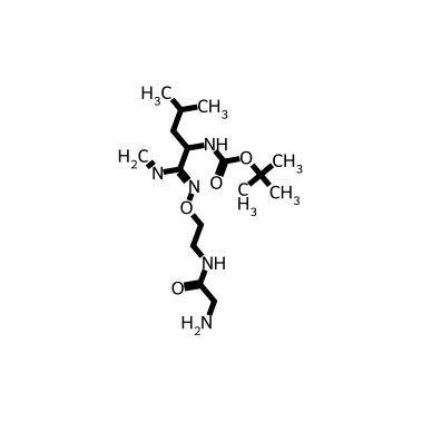 C=N/C(=N\OCCNC(=O)CN)C(CC(C)C)NC(=O)OC(C)(C)C